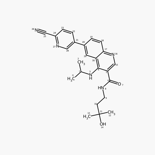 CC(C)Nc1c(C(=O)NCCC(C)(C)O)cnc2ccc(-c3ccc(C#N)nc3)cc12